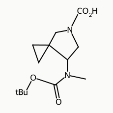 CN(C(=O)OC(C)(C)C)C1CN(C(=O)O)CC12CC2